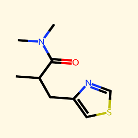 CC(Cc1cscn1)C(=O)N(C)C